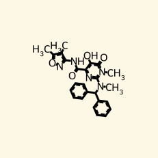 Cc1onc(NC(=O)c2nc(N(C)C(c3ccccc3)c3ccccc3)n(C)c(=O)c2O)c1C